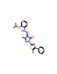 CC1=NN(c2nc(-c3ccccc3)c(C)s2)C(=O)/C1=N/Nc1ccccc1OC(C)C